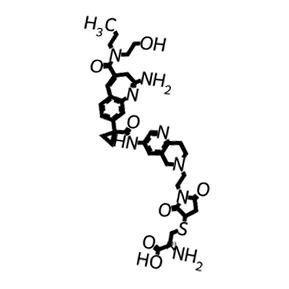 CCCN(CCO)C(=O)C1=Cc2ccc(C3(C(=O)Nc4cnc5c(c4)CN(CCN4C(=O)CC(SC[C@H](N)C(=O)O)C4=O)CC5)CC3)cc2N=C(N)C1